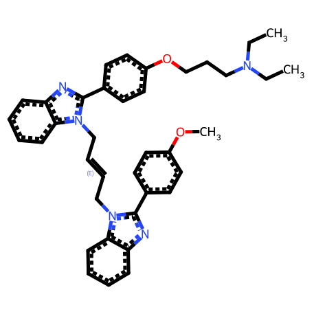 CCN(CC)CCCOc1ccc(-c2nc3ccccc3n2C/C=C/Cn2c(-c3ccc(OC)cc3)nc3ccccc32)cc1